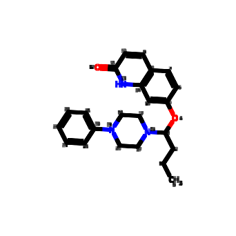 CCCC(Oc1ccc2ccc(=O)[nH]c2c1)N1CCN(c2ccccc2)CC1